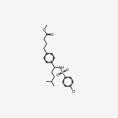 COC(=O)CCCc1ccc(C(CCC(C)C)NS(=O)(=O)c2ccc(Cl)cc2)cc1